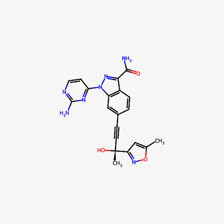 Cc1cc([C@](C)(O)C#Cc2ccc3c(C(N)=O)nn(-c4ccnc(N)n4)c3c2)no1